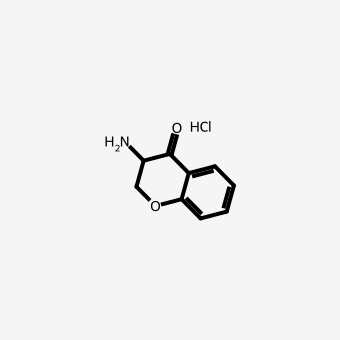 Cl.NC1COc2ccccc2C1=O